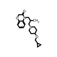 CC(CN1CCC(OCC2CC2)CC1)CN1C(=O)COc2ccccc21